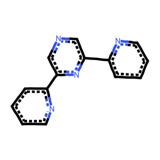 c1ccc(-c2cncc(-c3ccccn3)n2)nc1